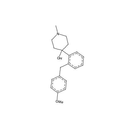 COc1ccc(Cc2ccccc2C2(O)CCN(C)CC2)cc1